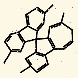 CC1=CC2=C(C=CC1)c1ccc(C)cc1C21c2cc(C)ccc2-c2ccc(C)cc21